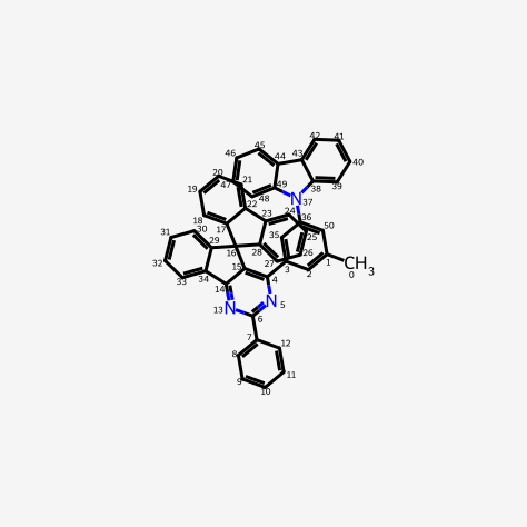 Cc1cc(-c2nc(-c3ccccc3)nc3c2C2(c4ccccc4-c4ccccc42)c2ccccc2-3)cc(-n2c3ccccc3c3ccccc32)c1